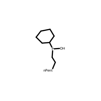 CCCCCCCP(O)C1CCCCC1